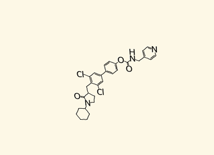 O=C(NCc1ccncc1)Oc1ccc(-c2cc(Cl)c(CC3CCN(C4CCCCC4)C3=O)c(Cl)c2)cc1